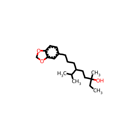 CCC(C)(O)CCC(CCCc1ccc2c(c1)OCO2)C(C)C